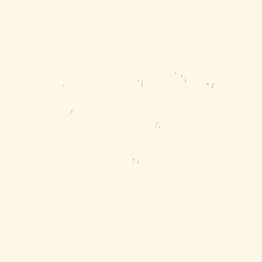 CCN(CC)c1nc(-n2cccn2)nc2cc(Oc3ccccc3)ccc12